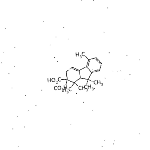 Cc1cccc2c1C1=CCC(C(=O)O)(C(=O)O)C(C)(C)C1C2(C)C